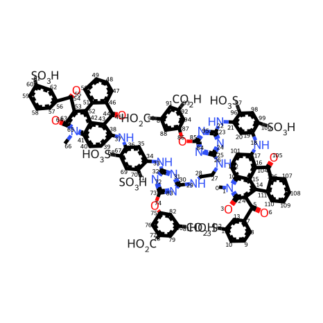 Cn1c(=O)c(C(=O)c2cccc(S(=O)(=O)O)c2)c2c3c(c(Nc4cc(Nc5nc(NCCNc6nc(Nc7cc(Nc8ccc9c%10c8C(=O)c8ccccc8-c%10c(C(=O)c8cccc(S(=O)(=O)O)c8)c(=O)n9C)c(S(=O)(=O)O)cc7S(=O)(=O)O)nc(Oc7cc(C(=O)O)cc(C(=O)O)c7)n6)nc(Oc6cc(C(=O)O)cc(C(=O)O)c6)n5)c(S(=O)(=O)O)cc4S(=O)(=O)O)ccc31)C(=O)c1ccccc1-2